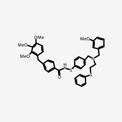 COc1cccc(CN(CCSc2ccccc2)Cc2ccc(SNC(=O)c3ccc(Cc4ccc(OC)c(OC)c4OC)cc3)cc2)c1